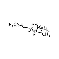 CCCC=CCOC(=O)N[C@@H](CC(C)C)C(=O)O